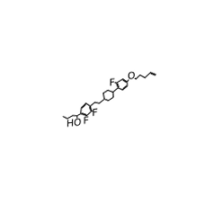 C=CCCCOc1ccc(C2CCC(CCc3ccc(C(O)CCC)c(F)c3F)CC2)c(F)c1